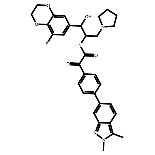 Cc1c2ccc(-c3ccc(C(=O)C(=O)NC(CN4CCCC4)C(O)c4cc(F)c5c(c4)OCCO5)cc3)cc2nn1C